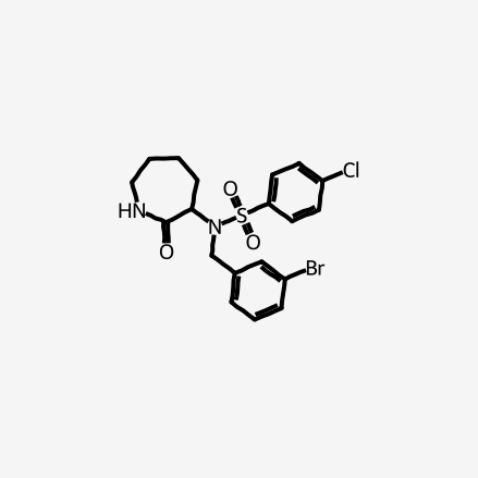 O=C1NCCCCC1N(Cc1cccc(Br)c1)S(=O)(=O)c1ccc(Cl)cc1